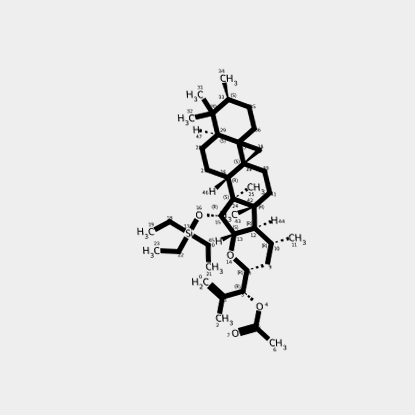 C=C(C)[C@@H](OC(C)=O)[C@H]1C[C@@H](C)[C@H]2[C@H](O1)[C@H](O[Si](CC)(CC)CC)[C@@]1(C)[C@@H]3CC[C@H]4C(C)(C)[C@@H](C)CCC45C[C@@]35CC[C@]21C